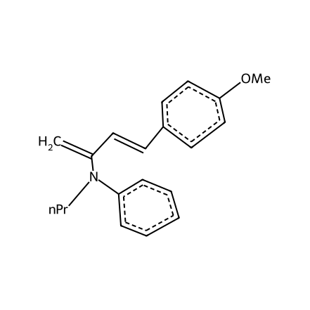 C=C(/C=C/c1ccc(OC)cc1)N(CCC)c1ccccc1